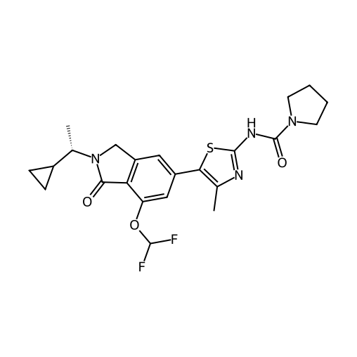 Cc1nc(NC(=O)N2CCCC2)sc1-c1cc2c(c(OC(F)F)c1)C(=O)N([C@@H](C)C1CC1)C2